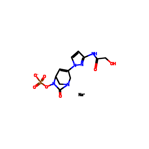 O=C(CO)Nc1ccn(C2=CC3CN(C2)C(=O)N3OS(=O)(=O)[O-])n1.[Na+]